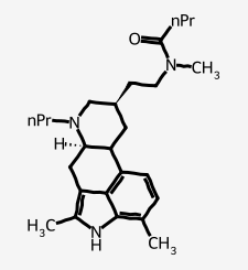 CCCC(=O)N(C)CC[C@H]1CC2c3ccc(C)c4[nH]c(C)c(c34)C[C@H]2N(CCC)C1